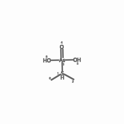 C[SH](C)[As](=O)(O)O